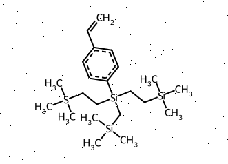 C=Cc1ccc([Si](CC[Si](C)(C)C)(CCS(C)(C)C)C[Si](C)(C)C)cc1